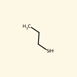 CCC[SiH]